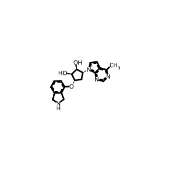 Cc1ncnc2c1ccn2[C@@H]1C[C@H](Oc2cccc3c2CNC3)[C@@H](O)[C@H]1O